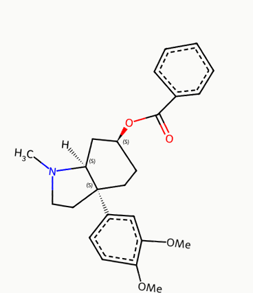 COc1ccc([C@@]23CC[C@H](OC(=O)c4ccccc4)C[C@@H]2N(C)CC3)cc1OC